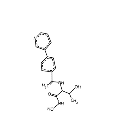 C=C(NC(C(=O)NO)C(C)O)c1ccc(-c2cccnc2)cc1